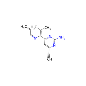 C#Cc1cc(C(/N=C\C=C)=C(C)C)nc(N)n1